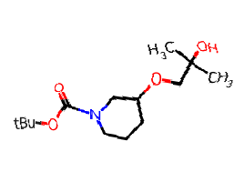 CC(C)(O)COC1CCCN(C(=O)OC(C)(C)C)C1